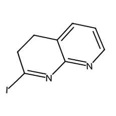 IC1=Nc2ncccc2CC1